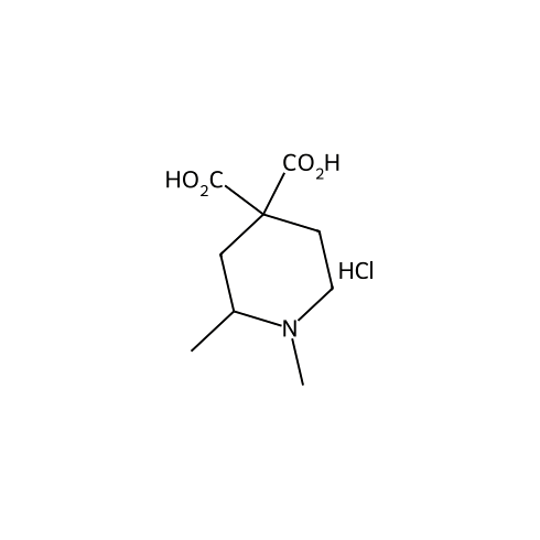 CC1CC(C(=O)O)(C(=O)O)CCN1C.Cl